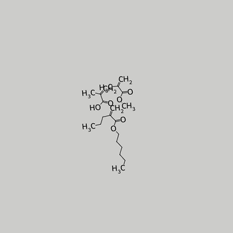 C=C(C)C(=O)O.C=C(C)C(=O)OC.C=C(CCC)C(=O)OCCCCCC